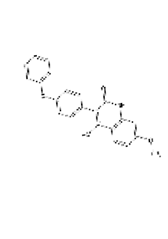 COc1ccc2c(O)c(-c3ccc(Oc4ccccc4)cc3)c(=O)[nH]c2c1